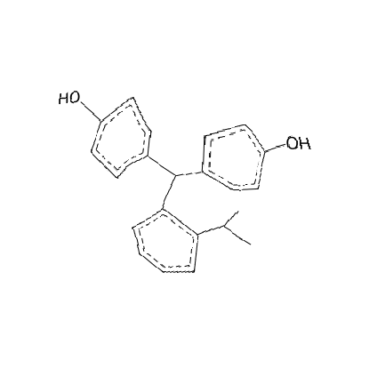 CC(C)c1ccccc1C(c1ccc(O)cc1)c1ccc(O)cc1